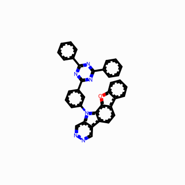 c1ccc(-c2nc(-c3ccccc3)nc(-c3cccc(-n4c5cnncc5c5ccc6c7ccccc7oc6c54)c3)n2)cc1